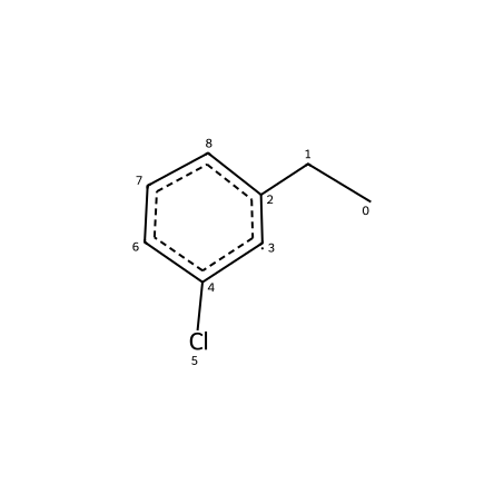 CCc1[c]c(Cl)ccc1